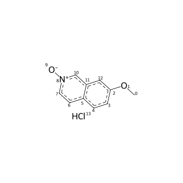 COc1ccc2cc[n+]([O-])cc2c1.Cl